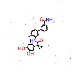 Cc1ccc(-c2cccc(C(N)=O)c2)cc1NC(=O)C1(c2ccc(O)c(O)c2)CC1